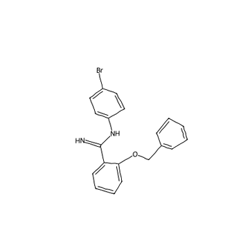 N=C(Nc1ccc(Br)cc1)c1ccccc1OCc1ccccc1